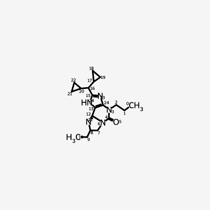 CCCN1C(=O)N2CC(CC)N=C2c2[nH]c(C(C3CC3)C3CC3)nc21